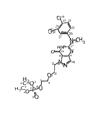 COP(=O)(OC)OCCOCCn1ncc2nc(N(C)c3ccc(Cl)c(Cl)c3)[nH]c(=O)c21